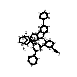 CC1(c2nc(-c3ccccc3)nc(-c3cc(C#N)ccc3-n3c4ccccc4c4cc(-c5ccccc5)ccc43)n2)C[C@H]2CC[C@@H](C2)C1